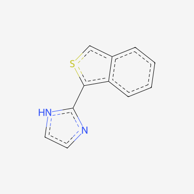 c1ccc2c(-c3ncc[nH]3)scc2c1